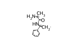 [CH2][C@H](NC(=O)[C@@H](C)N)c1ccccc1